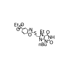 CCCCn1c(=O)[nH]c(=O)c2c1nc(CSc1nc3cc(S(=O)(=O)CC)ccc3o1)n2CC